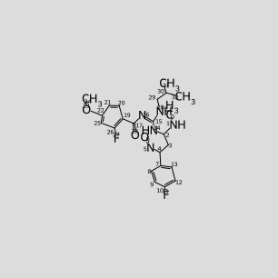 CNC(CC(N=O)c1ccc(F)cc1)N/C(=N\C(=O)c1ccc(OC)cc1F)NCC(C)C